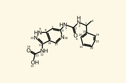 CC(NC(=O)Nc1cc2[nH]nc(NC(=O)O)c2cn1)c1ccccc1